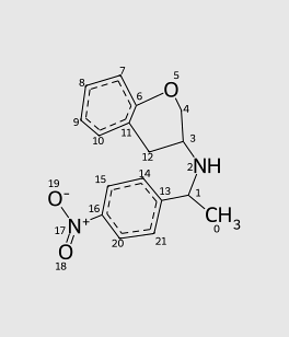 CC(NC1COc2ccccc2C1)c1ccc([N+](=O)[O-])cc1